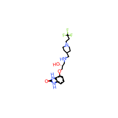 O=c1[nH]c2cccc(OC[C@H](O)CNCC3CCN(CCC(F)(F)F)CC3)c2[nH]1